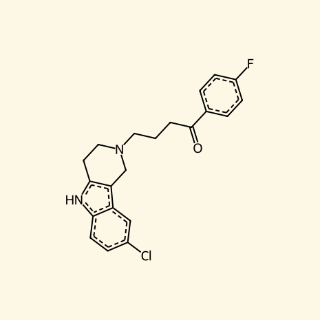 O=C(CCCN1CCc2[nH]c3ccc(Cl)cc3c2C1)c1ccc(F)cc1